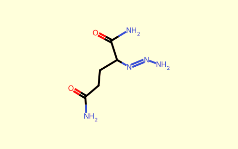 NN=NC(CCC(N)=O)C(N)=O